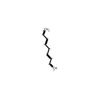 [CH]=CC=CCC=CC=C